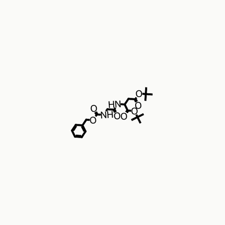 CC(C)(C)OC(=O)CC(NC(=O)CNC(=O)OCc1ccccc1)C(=O)OC(C)(C)C